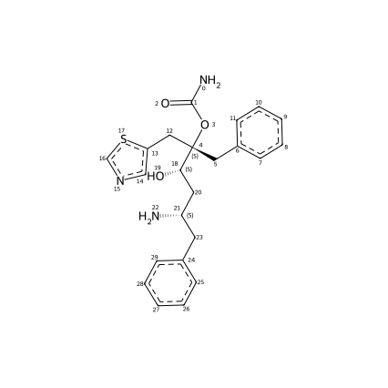 NC(=O)O[C@@](Cc1ccccc1)(Cc1cncs1)[C@@H](O)C[C@@H](N)Cc1ccccc1